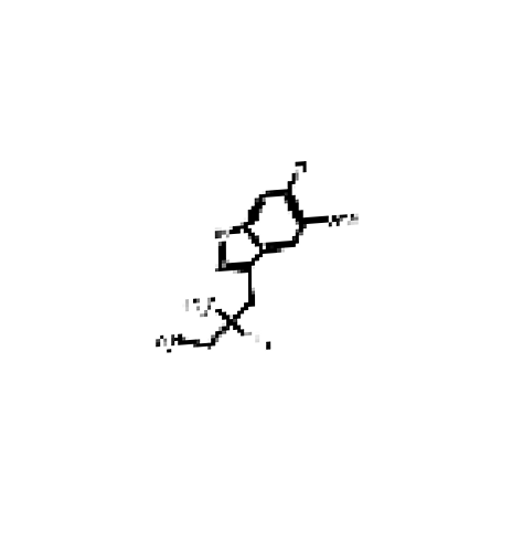 COc1cc2c(CC(C)(C[N+](=O)[O-])C(=O)O)c[nH]c2cc1Cl